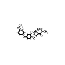 CN(C)C(=O)C(CS(=O)(=O)c1ccc(Oc2ccc(OC(F)(F)F)cc2)cc1)N(O)C=O